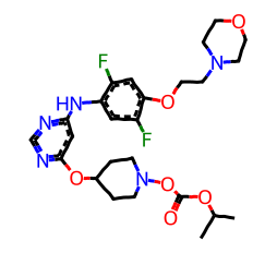 CC(C)OC(=O)ON1CCC(Oc2cc(Nc3cc(F)c(OCCN4CCOCC4)cc3F)ncn2)CC1